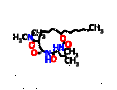 CCCCCCCC1CC/C=C/CC(C(=O)N(C)C)C[C@@H](C=O)NC(=O)[C@H](CC(C)C)NC(=O)O1